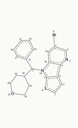 Brc1cnc2c3ccsc3n(C(c3ccccc3)C3CCOCC3)c2c1